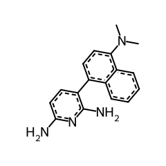 CN(C)c1ccc(-c2ccc(N)nc2N)c2ccccc12